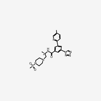 Cc1ccc(-c2cc(C(=O)N[C@H](C)CN3CCN(S(C)(=O)=O)CC3)cc(-n3cnnn3)c2)nc1